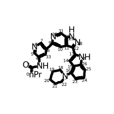 CCCC(=O)Nc1cncc(-c2cc3c(-c4cc5c(N6CCCCC6)cccc5[nH]4)n[nH]c3cn2)c1